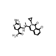 C[C@H](Nc1nc(N)ncc1C(N)=O)c1cc2cccc(Cl)c2c(=O)n1C1CC1